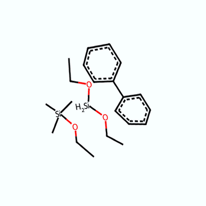 CCO[SiH2]OCC.CCO[Si](C)(C)C.c1ccc(-c2ccccc2)cc1